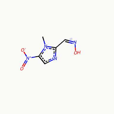 Cn1c([N+](=O)[O-])cnc1/C=N\O